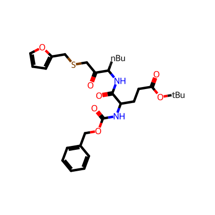 CCCCC(NC(=O)C(CCC(=O)OC(C)(C)C)NC(=O)OCc1ccccc1)C(=O)CSCc1ccco1